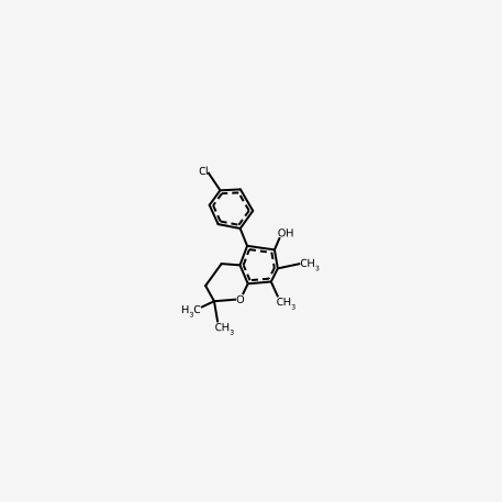 Cc1c(C)c2c(c(-c3ccc(Cl)cc3)c1O)CCC(C)(C)O2